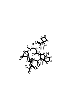 CC[C@H](C)[C@H](NC(=O)C1(F)CCC1)C(=O)N1C[C@@H]2CCC[C@@H]2[C@H]1C(=O)NN(C[C@@H]1CCNC1=O)C(=O)[C@H](F)Cl